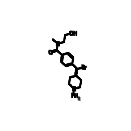 CN(CCO)C(=O)c1ccc(C(Br)=C2CCN(P)CC2)cc1